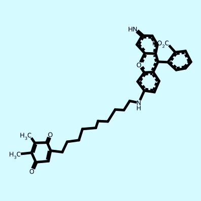 CC1=C(C)C(=O)C(CCCCCCCCCCNc2ccc3c(-c4ccccc4C(=O)O)c4ccc(=N)cc-4oc3c2)=CC1=O